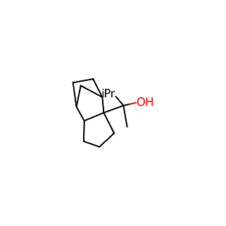 CC(C)C(C)(O)C12CCCC1C1CCC2C1